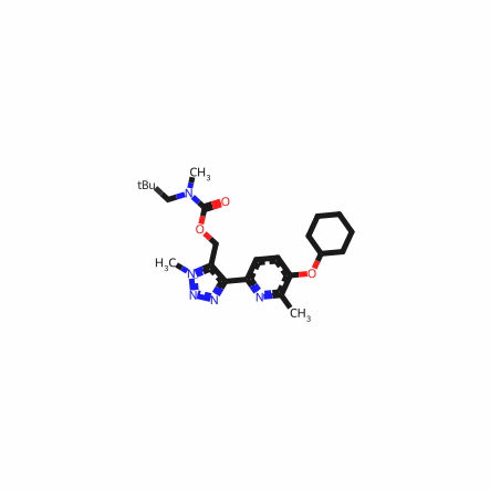 Cc1nc(-c2nnn(C)c2COC(=O)N(C)CC(C)(C)C)ccc1OC1CCCCC1